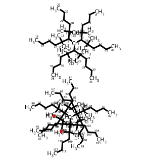 CCCCC(C)(C)[CH]([Cr]([CH](C(C)(C)CCCC)C(C)(C)CCCC)[CH](C(C)(C)CCCC)C(C)(C)CCCC)C(C)(C)CCCC.CCCCC(C)(C)[C]([Cr]([C](C(C)(C)CCCC)(C(C)(C)CCCC)C(C)(C)CCCC)[C](C(C)(C)CCCC)(C(C)(C)CCCC)C(C)(C)CCCC)(C(C)(C)CCCC)C(C)(C)CCCC